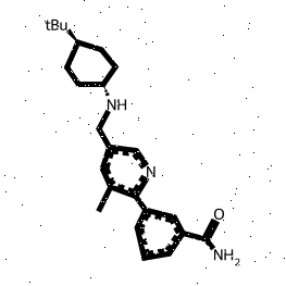 Cc1cc(CN[C@H]2CC[C@H](C(C)(C)C)CC2)cnc1-c1cccc(C(N)=O)c1